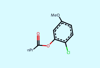 CC[CH]C(=O)Oc1cc(OC)ccc1Cl